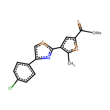 COC(=S)c1cc(-c2nc(-c3ccc(Cl)cc3)cs2)c(C)s1